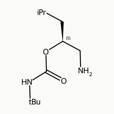 CC(C)C[C@@H](CN)OC(=O)NC(C)(C)C